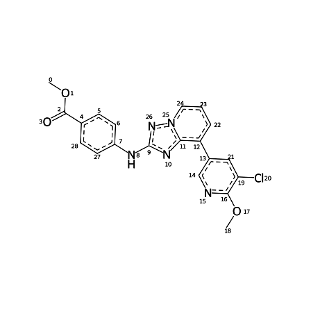 COC(=O)c1ccc(Nc2nc3c(-c4cnc(OC)c(Cl)c4)cccn3n2)cc1